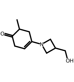 CC1CC(N2CC(CO)C2)=CCC1=O